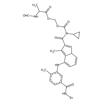 CCNC(=O)c1ccc(C)c(NC2=CC=CC3C=C(C(=O)N(C(=O)OCOC(=O)C(C)NC=O)C4CC4)C(C)=C23)c1